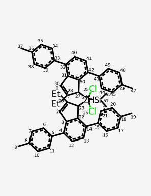 CCC1=Cc2c(-c3ccc(C)cc3)ccc(-c3ccc(C)cc3)c2[CH]1[Zr]([Cl])([Cl])([CH]1C(CC)=Cc2c(-c3ccc(C)cc3)ccc(-c3ccc(C)cc3)c21)[SiH](C)C